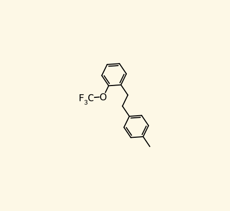 Cc1ccc(CCc2ccccc2OC(F)(F)F)cc1